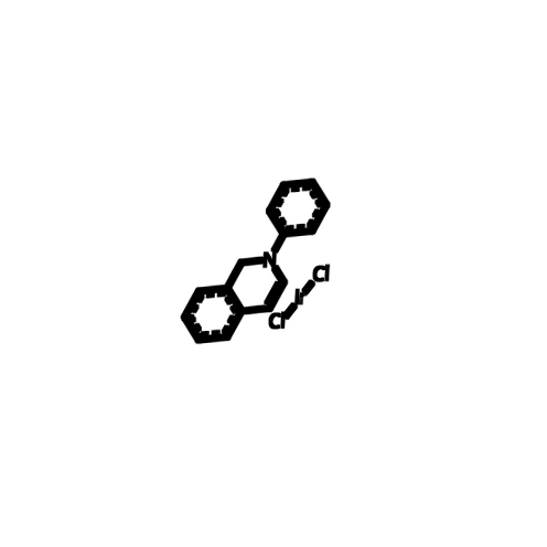 C1=CN(c2ccccc2)Cc2ccccc21.[Cl][Ir][Cl]